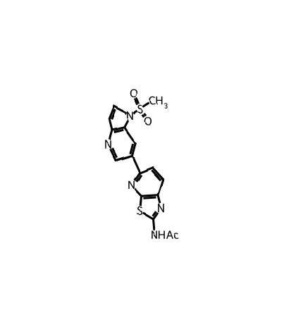 CC(=O)Nc1nc2ccc(-c3cnc4ccn(S(C)(=O)=O)c4c3)nc2s1